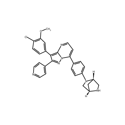 COc1cc(-c2c(-c3ccncc3)nn3c(-c4ccc(N5C[C@@H]6C[C@H]5CN6)cc4)ccnc23)ccc1Cl